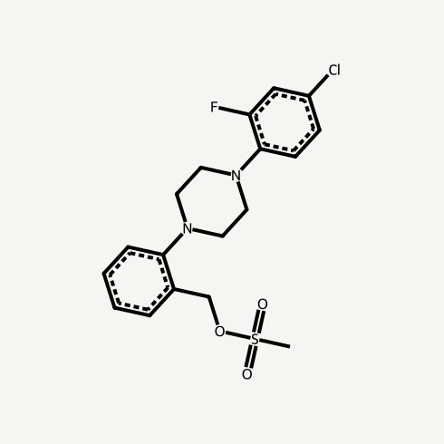 CS(=O)(=O)OCc1ccccc1N1CCN(c2ccc(Cl)cc2F)CC1